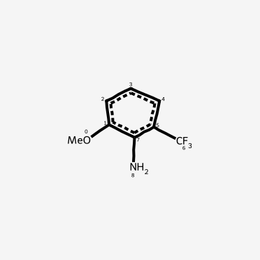 COc1cccc(C(F)(F)F)c1N